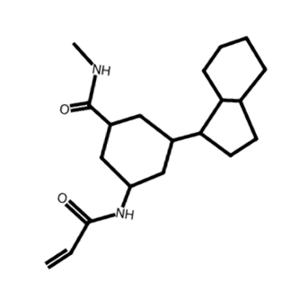 C=CC(=O)NC1CC(C(=O)NC)CC(C2CCC3CCCCC32)C1